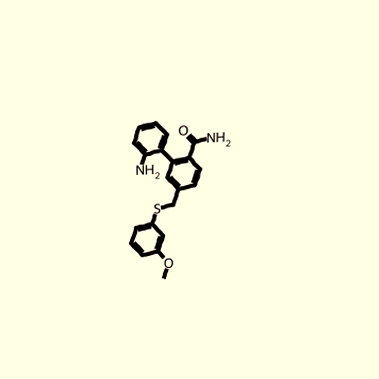 COc1cccc(SCc2ccc(C(N)=O)c(-c3ccccc3N)c2)c1